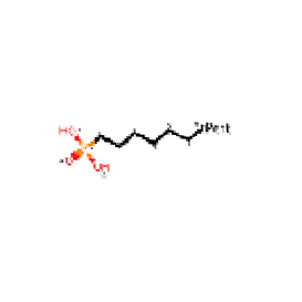 [CH2]CCCCCCCCCCP(=O)(O)O